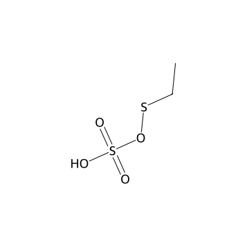 CCSOS(=O)(=O)O